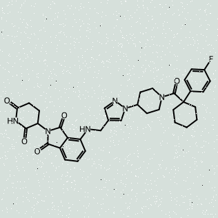 O=C1CCC(N2C(=O)c3cccc(NCc4cnn(C5CCN(C(=O)C6(c7ccc(F)cc7)CCCCC6)CC5)c4)c3C2=O)C(=O)N1